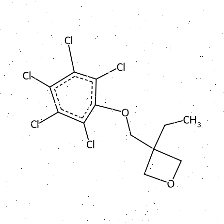 CCC1(COc2c(Cl)c(Cl)c(Cl)c(Cl)c2Cl)COC1